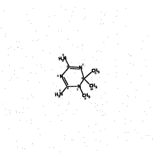 CN1C(N)=NC(N)=NC1(C)C